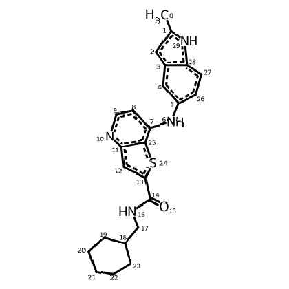 Cc1cc2cc(Nc3ccnc4cc(C(=O)NCC5CCCCC5)sc34)ccc2[nH]1